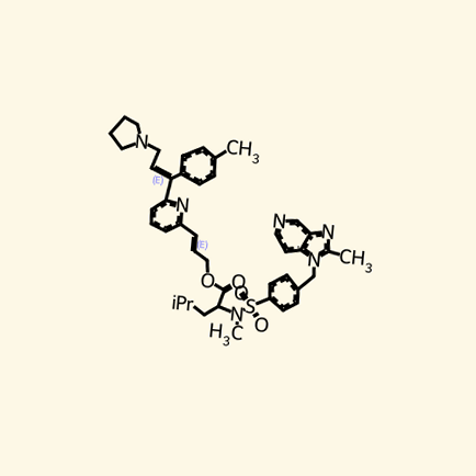 Cc1ccc(/C(=C\CN2CCCC2)c2cccc(/C=C/COC(=O)C(CC(C)C)N(C)S(=O)(=O)c3ccc(Cn4c(C)nc5cnccc54)cc3)n2)cc1